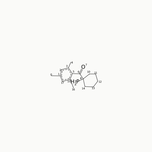 Cc1cc(C)c(C(=O)C2(P)CCCCC2)c(C)c1